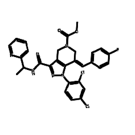 COC(=O)N1CC(=Cc2ccc(F)cc2)c2c(c(C(=O)NC(C)c3ccccn3)nn2-c2ccc(Cl)cc2Cl)C1